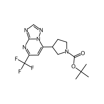 CC(C)(C)OC(=O)N1CCC(c2cc(C(F)(F)F)nc3ncnn23)C1